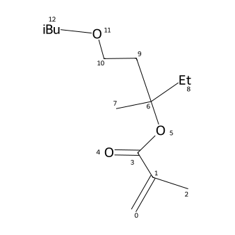 C=C(C)C(=O)OC(C)(CC)CCOC(C)CC